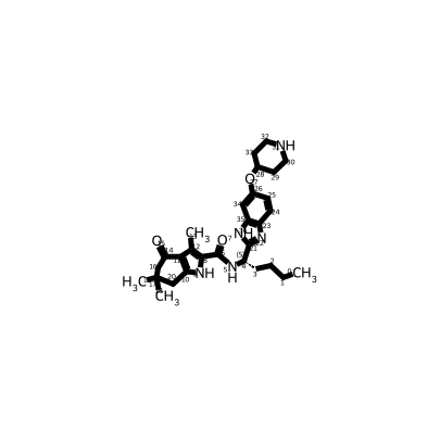 CCCC[C@H](NC(=O)c1[nH]c2c(c1C)C(=O)CC(C)(C)C2)c1nc2ccc(OC3CCNCC3)cc2[nH]1